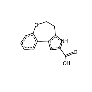 O=C(O)c1cc2c([nH]1)CCOc1ccccc1-2